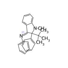 CN1c2ccccc2/C(=N/c2ccccc2)C1(c1ccccc1)C(C)(C)C